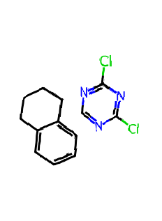 Clc1ncnc(Cl)n1.c1ccc2c(c1)CCCC2